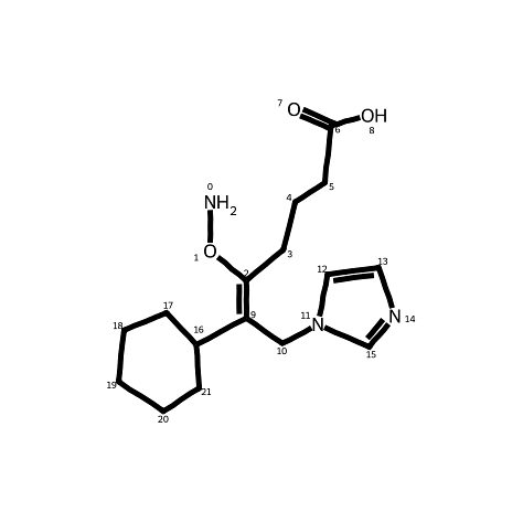 NOC(CCCC(=O)O)=C(Cn1ccnc1)C1CCCCC1